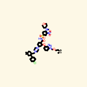 CN(c1ccc(S(=O)(=O)NC(=O)c2ccc(N3CCN(CC4=C(c5ccc(Cl)cc5)CC(C)(C)CC4)CC3)cc2Oc2cccc3c2nnn3COCC[Si](C)(C)C)cc1[N+](=O)[O-])C1CCOCC1